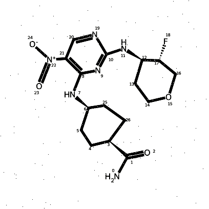 NC(=O)[C@H]1CC[C@@H](Nc2nc(N[C@@H]3CCOC[C@H]3F)ncc2[N+](=O)[O-])CC1